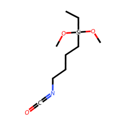 CC[Si](CCCCN=C=O)(OC)OC